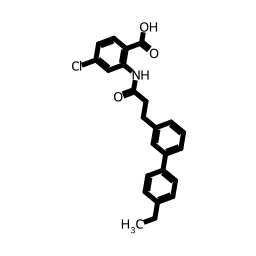 CCc1ccc(-c2cccc(CCC(=O)Nc3cc(Cl)ccc3C(=O)O)c2)cc1